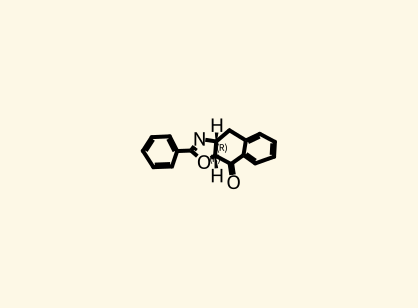 O=C1c2ccccc2C[C@H]2N=C(c3ccccc3)O[C@@H]12